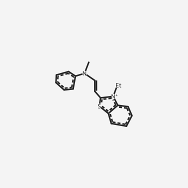 CC[n+]1c(C=CN(C)c2ccccc2)sc2ccccc21